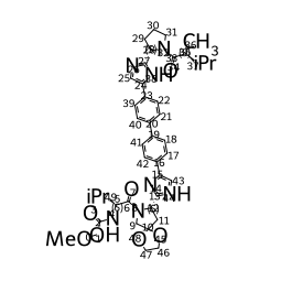 COOC(=O)N[C@H](C(=O)N1CC2(C[C@H]1c1nc(-c3ccc(-c4ccc(-c5cnc([C@@H]6CCCN6C(=O)[C@@H](C)C(C)C)[nH]5)cc4)cc3)c[nH]1)OCCO2)C(C)C